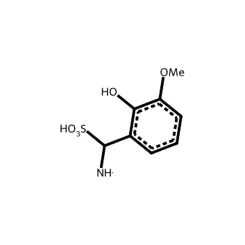 COc1cccc(C([NH])S(=O)(=O)O)c1O